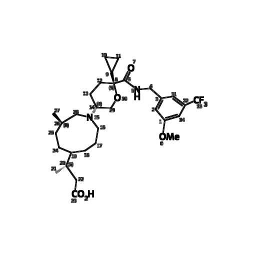 COc1cc(CNC(=O)[C@@]2(C3CC3)CC[C@@H](N3CCCC([C@@H](C)CC(=O)O)CC[C@@H](C)C3)CO2)cc(C(F)(F)F)c1